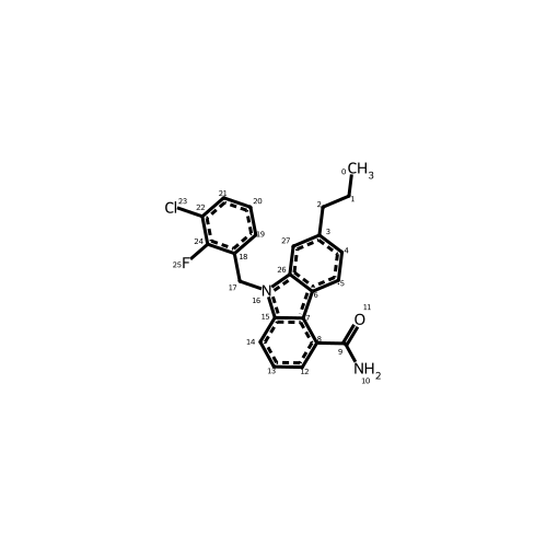 CCCc1c[c]c2c3c(C(N)=O)cccc3n(Cc3cccc(Cl)c3F)c2c1